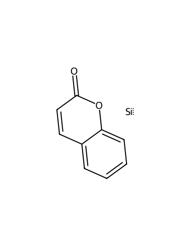 O=c1ccc2ccccc2o1.[Si]